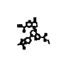 CCOC(=O)c1cnc2c(c1)OCCN2c1ccn2c(=O)n(C)nc2c1.O=C(O)c1cnc2c(c1)OCCN2